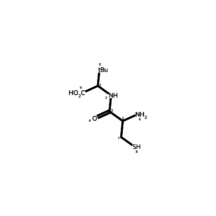 CC(C)(C)C(NC(=O)C(N)CS)C(=O)O